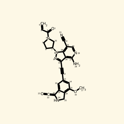 C=CC(=O)N1CC[C@H](n2nc(C#Cc3cc(OC)c4c(c3)C(=C=O)NC4)c3c(N)ncc(C#N)c32)C1